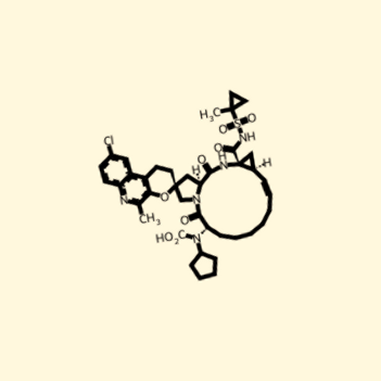 Cc1nc2ccc(Cl)cc2c2c1O[C@]1(CC2)C[C@H]2C(=O)N[C@]3(C(=O)NS(=O)(=O)C4(C)CC4)C[C@H]3/C=C\CCCCC[C@H](N(C(=O)O)C3CCCC3)C(=O)N2C1